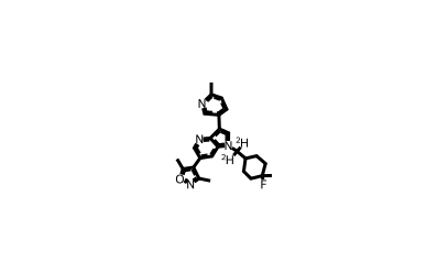 [2H]C([2H])(C1CCC(C)(F)CC1)n1cc(-c2ccc(C)nc2)c2ncc(-c3c(C)noc3C)cc21